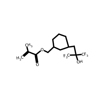 C=C(C)C(=O)OCC1CCCC(CC(O)(C(F)(F)F)C(F)(F)F)C1